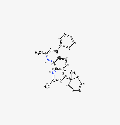 Cc1cc(-c2ccccc2)c2ccc3c(C4(C)C=CC=CC4)cc(C)nc3c2n1